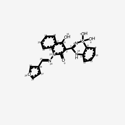 O=c1c(C2=NS(O)(O)c3ccccc3N2)c(O)c2ccccc2n1N=Cc1ccoc1